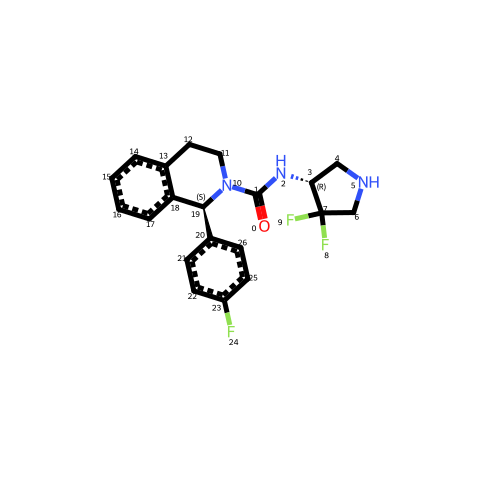 O=C(N[C@@H]1CNCC1(F)F)N1CCc2ccccc2[C@@H]1c1ccc(F)cc1